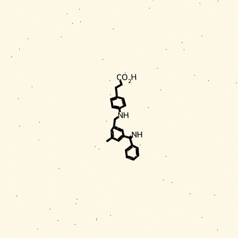 Cc1cc(CNc2ccc(CCC(=O)O)cc2)cc(C(=N)c2ccccc2)c1